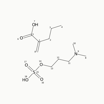 C=C(CCC)C(=O)O.CN(C)CCCOS(=O)(=O)O